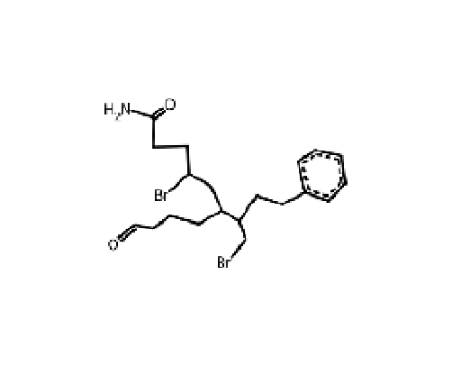 NC(=O)CCC(Br)CC(CCCC=O)C(CBr)CCc1ccccc1